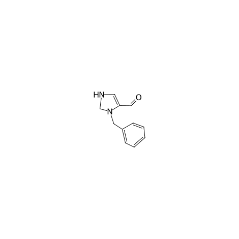 O=CC1=CNCN1Cc1ccccc1